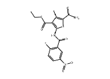 CCOC(=O)c1c(NC(=O)c2cc([N+](=O)[O-])ccc2F)sc(C(N)=O)c1C